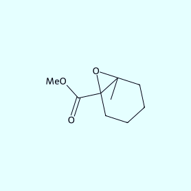 COC(=O)C12CCCCC1(C)O2